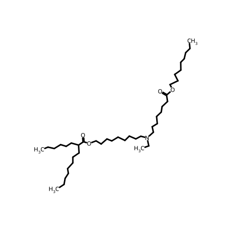 CCCCCCCCCOC(=O)CCCCCCCN(CC)CCCCCCCCCOC(=O)C(CCCCCC)CCCCCCCC